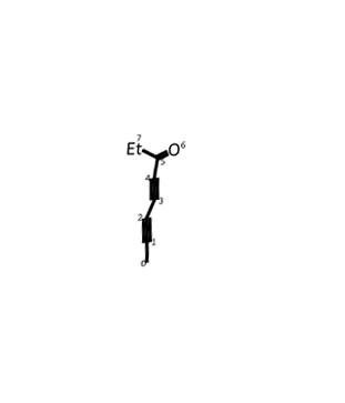 CC#CC#CC(=O)CC